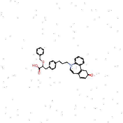 O=C1C=CC2=C(C1)c1ccccc1N(CCCc1ccc(CC(OCc3ccccc3)C(=O)O)cc1)C=C2